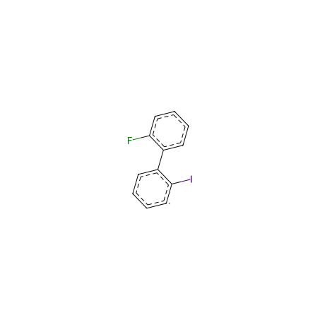 Fc1ccccc1-c1ccc[c]c1I